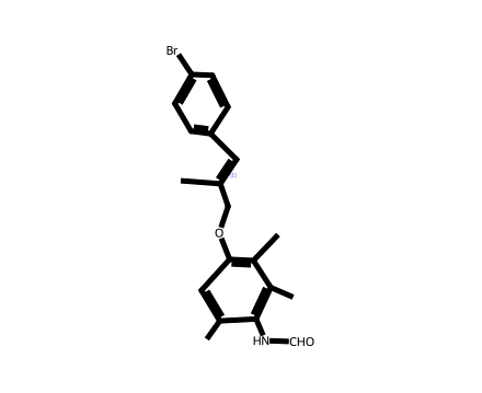 C/C(=C\c1ccc(Br)cc1)COc1cc(C)c(NC=O)c(C)c1C